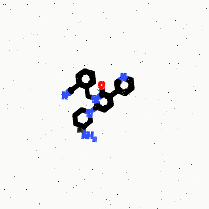 N#Cc1ccccc1Cn1c(N2CCC[C@@H](N)C2)ccc(-c2cccnc2)c1=O